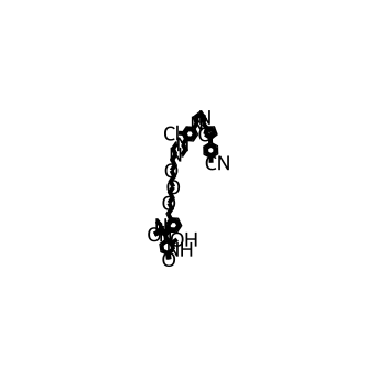 Cn1c(=O)n(C2CCC(=O)NC2O)c2cccc(CCOCCOCCOCCN3CCN(c4ccc(-n5ccnc5-c5ccc(-c6ccc(C#N)cc6)o5)cc4Cl)CC3)c21